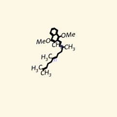 COc1c(C)c(C/C=C(\C)CC/C=C(\C)CCC=C(C)C)c(OC)c2ccccc12